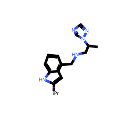 CC(C)c1cc2c(CNCC(C)n3cncn3)cccc2[nH]1